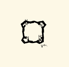 [O-][NH+]1C2=CC=C1C=C1C=CC(=N1)C=c1ccc([nH]1)=CC1=NC(=C2)C=C1.[V+4]